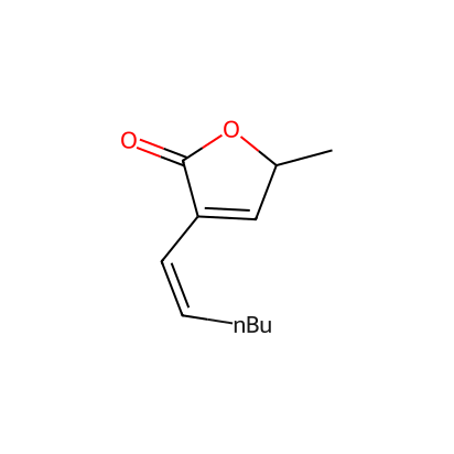 CCCC/C=C\C1=CC(C)OC1=O